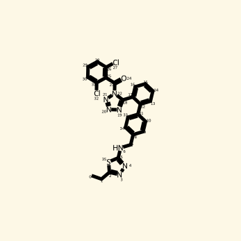 CCc1nnc(NCc2ccc(-c3ccccc3-c3nnnn3C(=O)c3c(Cl)cccc3Cl)cc2)s1